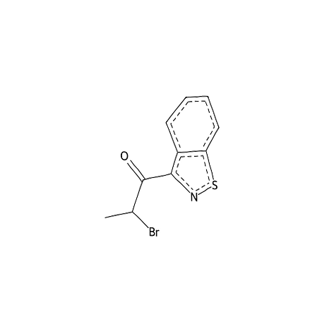 CC(Br)C(=O)c1nsc2ccccc12